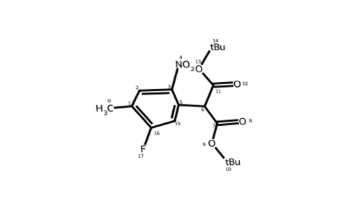 Cc1cc([N+](=O)[O-])c(C(C(=O)OC(C)(C)C)C(=O)OC(C)(C)C)cc1F